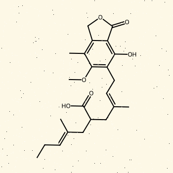 CC/C=C(\C)CC(C/C(C)=C/Cc1c(O)c2c(c(C)c1OC)COC2=O)C(=O)O